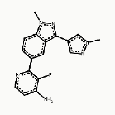 Cn1cc(-c2nn(C)c3ccc(-c4nccc(N)c4F)cc23)cn1